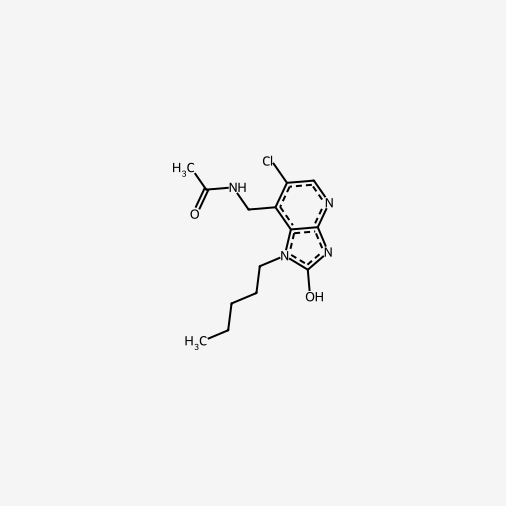 CCCCCn1c(O)nc2ncc(Cl)c(CNC(C)=O)c21